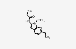 C=Cc1ccc2nc(NC(=O)CC(C)(C)C)n(CC(F)(F)F)c2n1